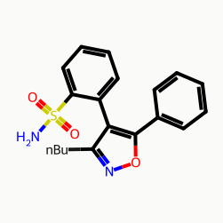 CCCCc1noc(-c2ccccc2)c1-c1ccccc1S(N)(=O)=O